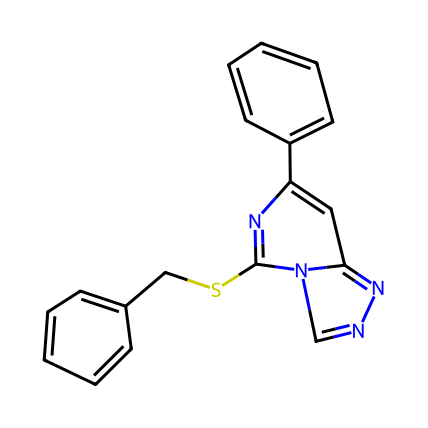 c1ccc(CSc2nc(-c3ccccc3)cc3nncn23)cc1